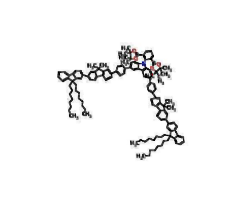 CCCCCCCCC1(CCCCCCCC)c2ccccc2-c2ccc(-c3ccc4c(c3)C(C)(C)c3cc(-c5ccc(-c6ccc7c(c6)c6cc(-c8ccc(-c9ccc%10c(c9)C(C)(C)c9cc(-c%11ccc%12c(c%11)C(CCCCCCCC)(CCCCCCCC)c%11ccccc%11-%12)ccc9-%10)cc8)ccc6n7-c6c(B7OC(C)(C)C(C)(C)O7)cccc6B6OC(C)(C)C(C)(C)O6)cc5)ccc3-4)cc21